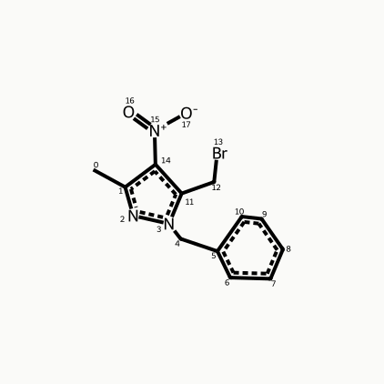 Cc1nn(Cc2ccccc2)c(CBr)c1[N+](=O)[O-]